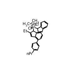 CCCc1ccc(-c2cccc3c2C=C(CC)[CH]3[Zr]([Cl])([Cl])([CH]2C=Cc3ccccc32)[SiH](C)C)cc1